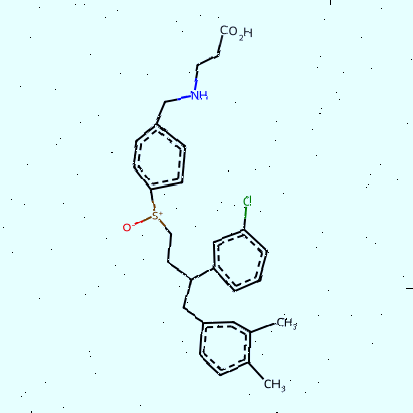 Cc1ccc(CC(CC[S+]([O-])c2ccc(CNCCC(=O)O)cc2)c2cccc(Cl)c2)cc1C